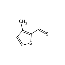 Cc1ccsc1[C]=S